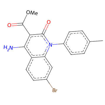 COC(=O)c1c(N)c2ccc(Br)cc2n(-c2ccc(C)cc2)c1=O